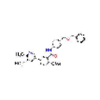 COc1ccc(-c2cnc(C)c(C(=O)O)c2)cc1C(=O)Nc1ccc(COCc2ccccc2)cc1